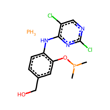 CP(C)Oc1cc(CO)ccc1Nc1nc(Cl)ncc1Cl.P